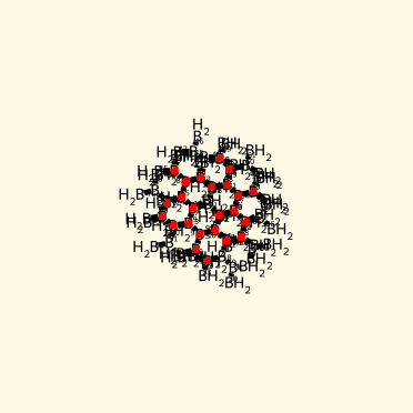 BB(B)B(B)B(B(B)B)B(B(B(B(B)B)B(B)B)B(B(B)B)B(B)B)B(B(B(B(B)B)B(B)B)B(B(B)B)B(B)B)B(B(B(B(B(B)B)B(B)B)B(B(B)B)B(B)B)B(B(B(B)B)B(B)B)B(B(B)B)B(B)B)B(B(B(B(B)B)B(B)B)B(B(B)B)B(B)B)B(B(B(B)B)B(B)B)B(B(B)B)B(B)B